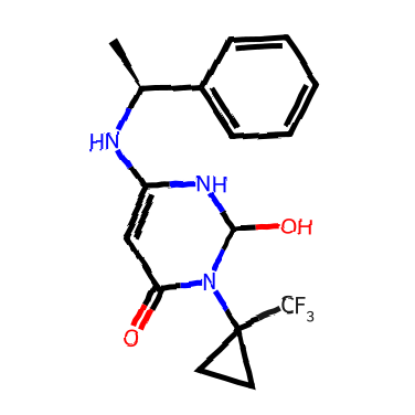 C[C@H](NC1=CC(=O)N(C2(C(F)(F)F)CC2)C(O)N1)c1ccccc1